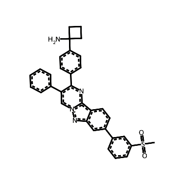 CS(=O)(=O)c1cccc(-c2ccc3c(c2)nn2cc(-c4ccccc4)c(-c4ccc(C5(N)CCC5)cc4)nc32)c1